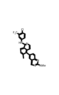 CNc1ncc2cc(-c3c(C)ccc4c(Nc5ccc(Cl)c(C(F)(F)F)c5)nccc34)ccc2n1